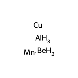 [AlH3].[BeH2].[Cu].[Mn]